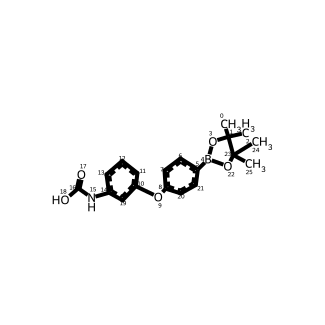 CC1(C)OB(c2ccc(Oc3cccc(NC(=O)O)c3)cc2)OC1(C)C